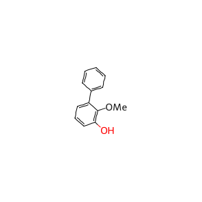 COc1c(O)cccc1-c1ccccc1